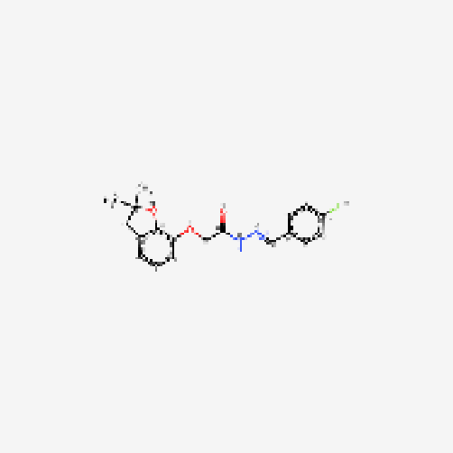 CC1(C)Cc2cccc(OCC(=O)N/N=C/c3ccc(F)cc3)c2O1